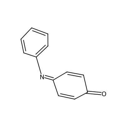 O=C1C=CC(=Nc2ccccc2)C=C1